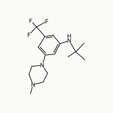 CN1CCN(c2cc(NC(C)(C)C)cc(C(F)(F)F)c2)CC1